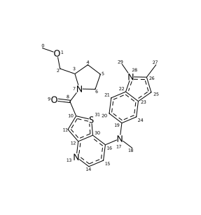 COCC1CCCN1C(=O)c1cc2nccc(N(C)c3ccc4c(c3)cc(C)n4C)c2s1